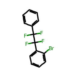 FC(F)(c1ccccc1)C(F)(F)c1ccccc1Br